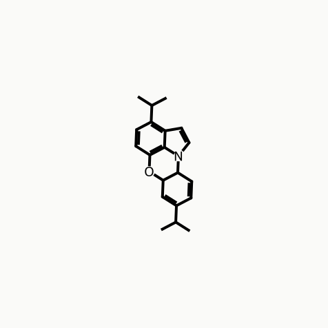 CC(C)C1=CC2Oc3ccc(C(C)C)c4ccn(c34)C2C=C1